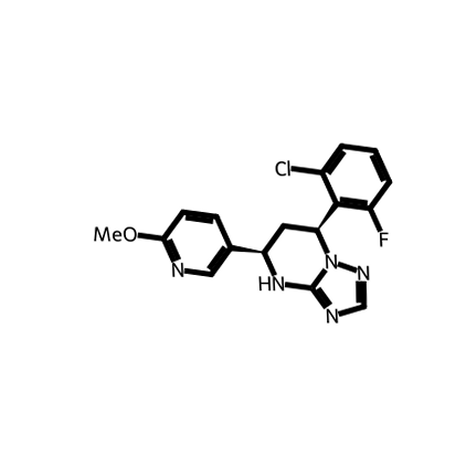 COc1ccc([C@H]2C[C@@H](c3c(F)cccc3Cl)n3ncnc3N2)cn1